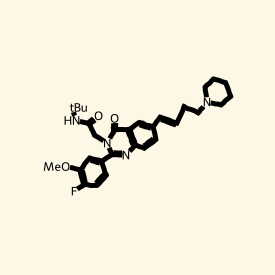 COc1cc(-c2nc3ccc(/C=C/CCN4CCCCC4)cc3c(=O)n2CC(=O)NC(C)(C)C)ccc1F